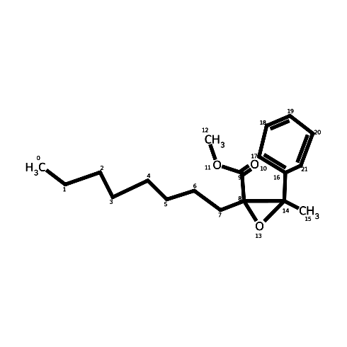 CCCCCCCCC1(C(=O)OC)OC1(C)c1ccccc1